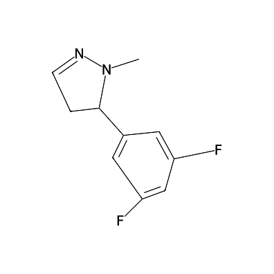 CN1N=CCC1c1cc(F)cc(F)c1